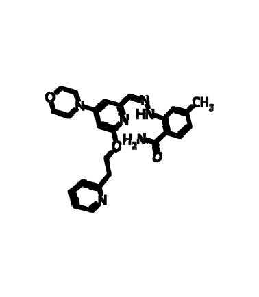 Cc1ccc(C(N)=O)c(N/N=C\c2cc(N3CCOCC3)cc(OCCc3ccccn3)n2)c1